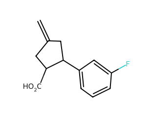 C=C1CC(C(=O)O)C(c2cccc(F)c2)C1